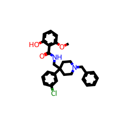 COc1cccc(O)c1C(=O)NCC1(c2cccc(Cl)c2)CCN(Cc2ccccc2)CC1